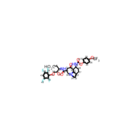 O=C(O)CC(NC(=O)C1CC(=O)C2c3c(ccn3C1)CCC2NC(=O)Oc1ccc(OC(F)(F)F)cc1)C(=O)COc1c(F)c(F)cc(F)c1F